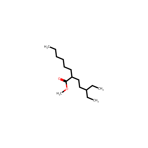 CCCCC[CH]C(CCC(CC)CC)C(=O)OC